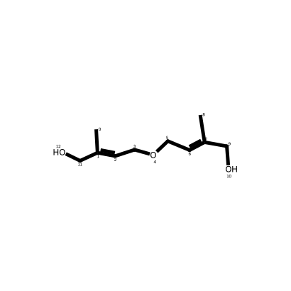 C/C(=C\COC/C=C(\C)CO)CO